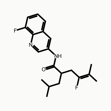 CC(C)=C(F)CC(CC(C)C)C(=O)Nc1cnc2c(F)cccc2c1